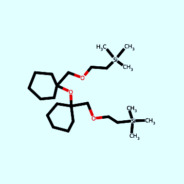 C[Si](C)(C)CCOCC1(OC2(COCC[Si](C)(C)C)CCCCC2)CCCCC1